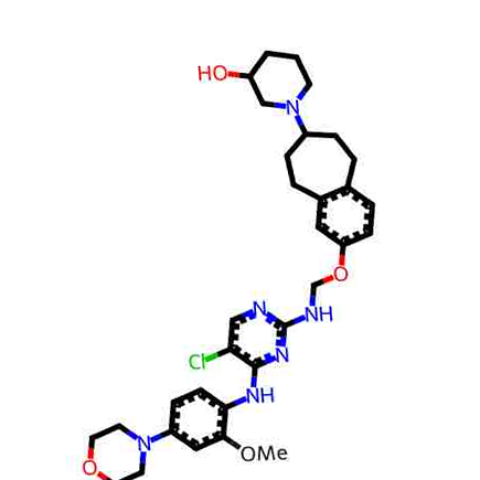 COc1cc(N2CCOCC2)ccc1Nc1nc(NCOc2ccc3c(c2)CCC(N2CCCC(O)C2)CC3)ncc1Cl